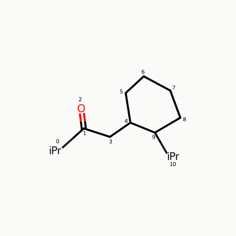 CC(C)C(=O)CC1CCCCC1C(C)C